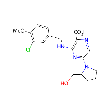 COc1ccc(CNc2nc(N3CCC[C@H]3CO)cnc2C(=O)O)cc1Cl